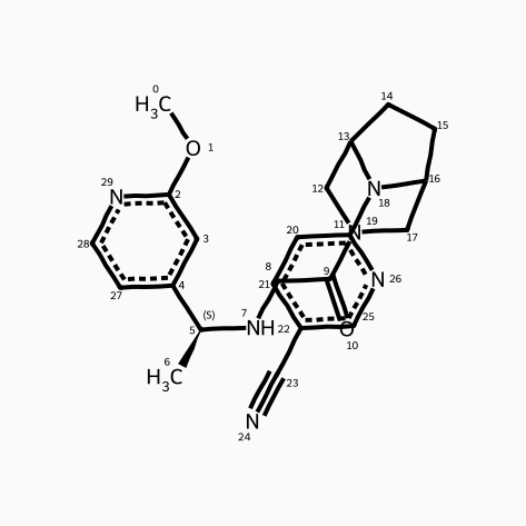 COc1cc([C@H](C)NCC(=O)N2CC3CCC(C2)N3c2ccc(C#N)cn2)ccn1